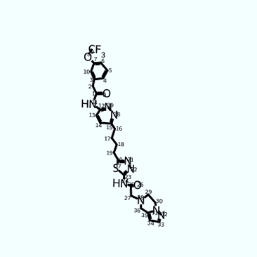 O=C(Cc1cccc(OC(F)(F)F)c1)Nc1ccc(CCCCc2nnc(NC(=O)CN3CCn4nccc4C3)s2)nn1